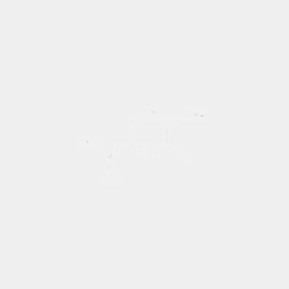 Cc1cc(B(O)O)cnc1OCC(C)C